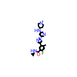 Cc1cc(F)c(C(=O)NC2CC2)cc1-c1cnn(-c2cncc(NC3CCN(C)CC3)c2)c1